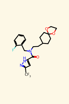 O=C(c1cc(C(F)(F)F)n[nH]1)N(CCC1CCC2(CC1)OCCO2)Cc1ccccc1F